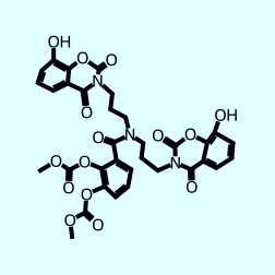 COC(=O)Oc1cccc(C(=O)N(CCCn2c(=O)oc3c(O)cccc3c2=O)CCCn2c(=O)oc3c(O)cccc3c2=O)c1OC(=O)OC